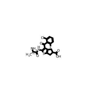 C[C@H](N)C(=O)Nc1sc2c(c1C(=O)c1c(F)cccc1Cl)CC(C(=O)O)C2